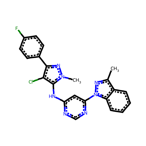 Cc1nn(-c2cc(Nc3c(Cl)c(-c4ccc(F)cc4)nn3C)ncn2)c2ccccc12